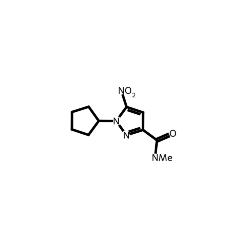 CNC(=O)c1cc([N+](=O)[O-])n(C2CCCC2)n1